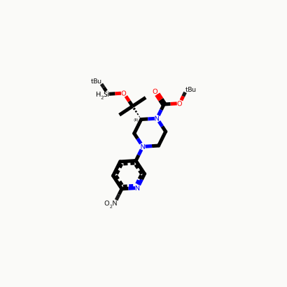 CC(C)(C)OC(=O)N1CCN(c2ccc([N+](=O)[O-])nc2)C[C@@H]1C(C)(C)O[SiH2]C(C)(C)C